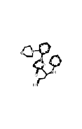 N=CCC(Nc1ccccc1)c1nn(-c2ccccc2N2CCOCC2)ccc1=O